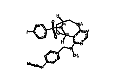 CN(Cc1ccc(N=[N+]=[N-])cc1)c1ncnc2c1[C@@H]1OC[C@H](CN2)N1S(=O)(=O)c1ccc(I)cc1